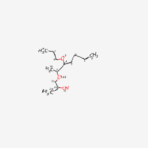 CCCCC(OCCC)C(C)OCC(C)O